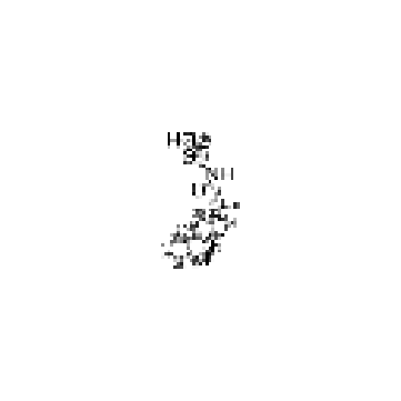 CC(CCC(=O)NCCS(=O)(=O)O)C1CCC2C3C(CCC12C)C1(C)CCCCC1CC3(F)F